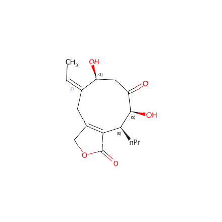 C/C=C1/CC2=C(C(=O)OC2)[C@H](CCC)[C@H](O)C(=O)C[C@@H]1O